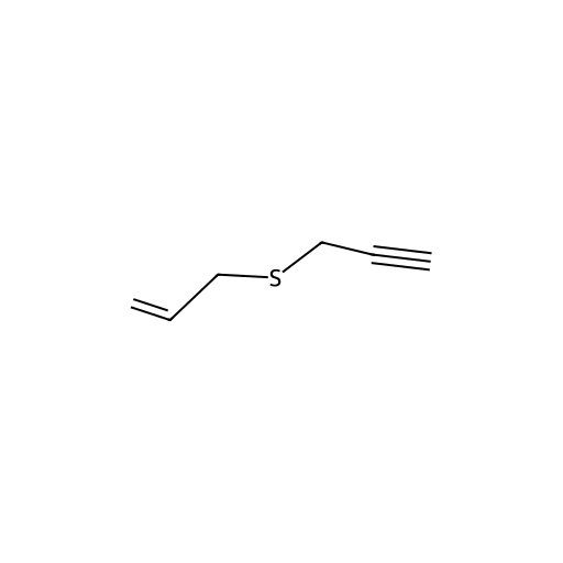 C#CCSCC=C